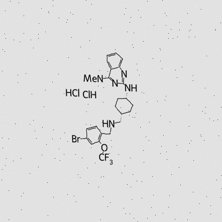 CNc1nc(N[C@H]2CC[C@@H](CNCc3ccc(Br)cc3OC(F)(F)F)CC2)nc2ccccc12.Cl.Cl